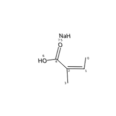 CC=C(C)C(=O)O.[NaH]